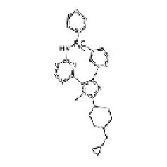 CC(Nc1nccc(-c2c(-c3cccc(C(F)(F)F)c3)nc(C3CCN(CC4CC4)CC3)n2C)n1)c1ccccc1